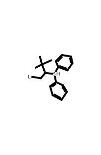 [Li][CH2]C([SiH](c1ccccc1)c1ccccc1)C(C)(C)C